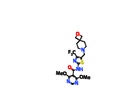 COc1ncnc(OC)c1C(=O)Nc1nc(C(F)(F)F)c(CN2CCC3(CC2)COC3)s1